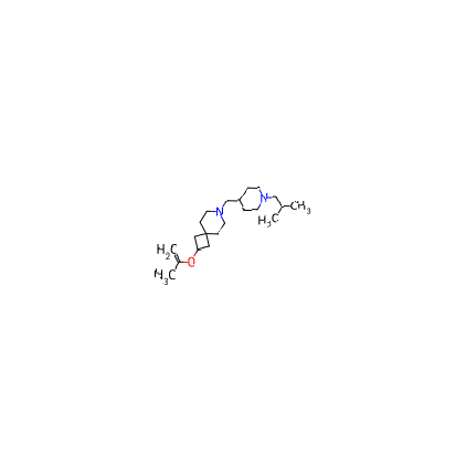 C=C(C)OC1CC2(CCN(CC3CCN(CC(C)C)CC3)CC2)C1